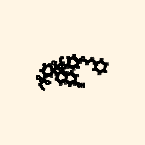 CCS(=O)(=O)C1=CC(c2ccc3cc(O)ccc3c2Oc2ccc(OCCN3CCCCC3)cc2)(S(=O)(=O)CC)CC=C1